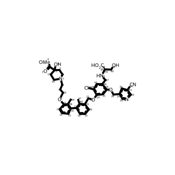 COC(=O)C1(O)CCN(CCCOc2cccc(-c3cccc(COc4cc(OCc5cncc(C#N)c5)c(CN[C@H](CO)C(=O)O)cc4Cl)c3C)c2C)CC1